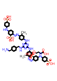 Cc1cc(Nc2nc(NCc3ccc(CN)cc3)nc(Nc3cc(C)c(/N=N\c4ccc(Nc5ccc(S(=O)(=O)O)cc5)cc4S(=O)(=O)O)cc3OCCCC(=O)O)n2)ccc1N=Nc1ccc(Nc2ccc(S(=O)(=O)O)cc2)cc1S(=O)(=O)O